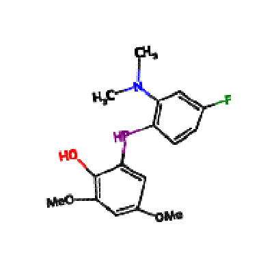 COc1cc(OC)c(O)c(Pc2ccc(F)cc2N(C)C)c1